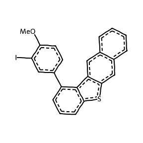 COc1ccc(-c2cccc3sc4cc5ccccc5cc4c23)cc1I